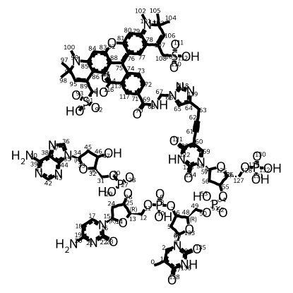 Cc1cn([C@H]2CC(OP(=O)(O)OC[C@H]3O[C@@H](n4ccc(N)nc4=O)CC3OP(=O)(O)OC[C@H]3O[C@@H](n4cnc5c(N)ncnc54)CC3O)[C@@H](COP(=O)(O)OC3C[C@H](n4cc(C#CCc5cn(CNC(=O)c6ccc(C7=c8cc9c(cc8Oc8cc%10c(cc87)C(CS(=O)(=O)O)=CC(C)(C)N%10C)=[N+](C)C(C)(C)C=C9CS(=O)(=O)O)c(C(=O)O)c6)nn5)c(=O)[nH]c4=O)O[C@@H]3COP(=O)(O)O)O2)c(=O)[nH]c1=O